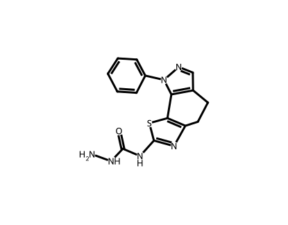 NNC(=O)Nc1nc2c(s1)-c1c(cnn1-c1ccccc1)CC2